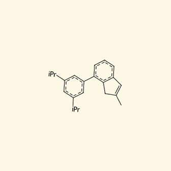 CC1=Cc2cccc(-c3cc(C(C)C)cc(C(C)C)c3)c2C1